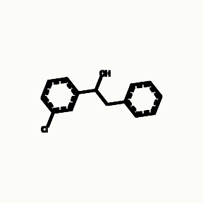 OC(Cc1ccccc1)c1cccc(Cl)c1